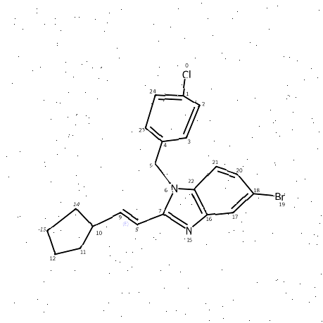 Clc1ccc(Cn2c(/C=C/C3CCCC3)nc3cc(Br)ccc32)cc1